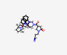 Cc1nc2ccccc2n1[C@H]1C[C@H]2CC[C@@H](C1)N2CCC1(c2ccccc2)CCN(C(=O)C2CC(=O)N(CCC#N)C2)CC1